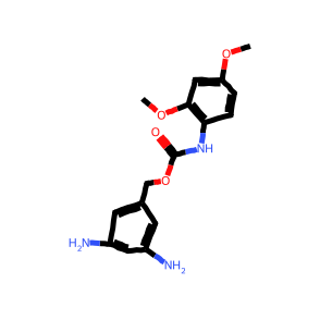 COc1ccc(NC(=O)OCc2cc(N)cc(N)c2)c(OC)c1